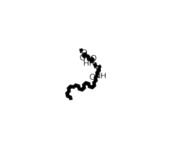 CC/C=C\C/C=C\C/C=C\C/C=C\C/C=C\C/C=C\CCC(=O)NCCN(C)CCNC(=O)/C=C/C(=O)OCC